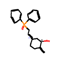 C=C1CC/C(=C/CP(=O)(c2ccccc2)c2ccccc2)C[C@H]1O